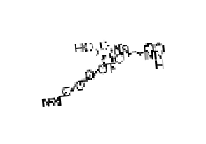 [N-]=[N+]=NCCOCCOCCOCCOc1ccc([C@H](CC(=O)O)N2CCN(CCCc3ccc4c(n3)NCCC4)C2=O)cc1F